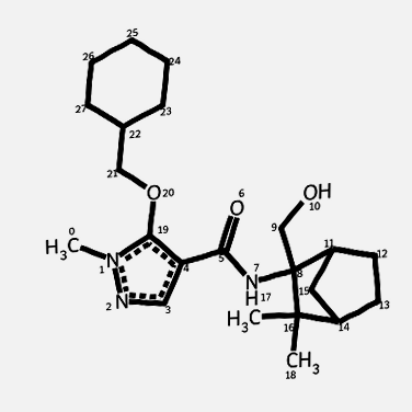 Cn1ncc(C(=O)NC2(CO)C3CCC(C3)C2(C)C)c1OCC1CCCCC1